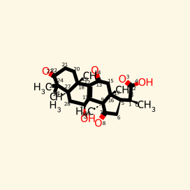 C[C@H](C(=O)O)[C@H]1CC(=O)[C@@]2(C)C3=C(C(=O)C[C@]12C)[C@@]1(C)CCC(=O)C(C)(C)[C@@H]1C[C@@H]3O